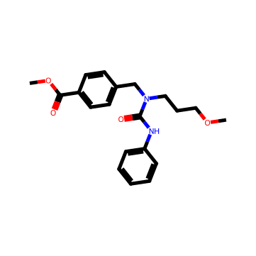 COCCCN(Cc1ccc(C(=O)OC)cc1)C(=O)Nc1ccccc1